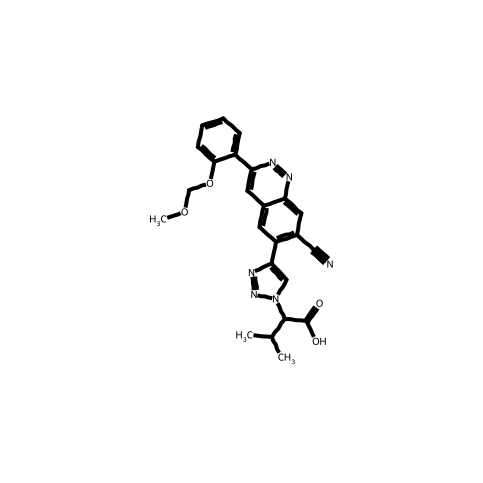 COCOc1ccccc1-c1cc2cc(-c3cn(C(C(=O)O)C(C)C)nn3)c(C#N)cc2nn1